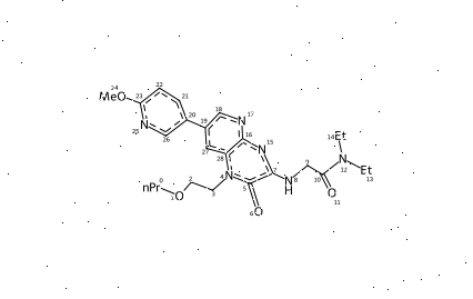 CCCOCCn1c(=O)c(NCC(=O)N(CC)CC)nc2ncc(-c3ccc(OC)nc3)cc21